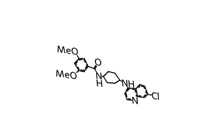 COc1cc(OC)cc(C(=O)NC2CCC(Nc3ccnc4cc(Cl)ccc34)CC2)c1